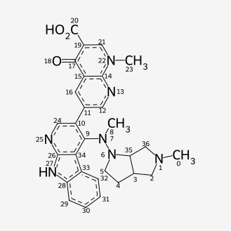 CN1CC2CCN(N(C)c3c(-c4cnc5c(c4)c(=O)c(C(=O)O)cn5C)cnc4[nH]c5ccccc5c34)C2C1